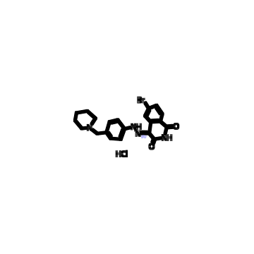 Cl.O=C1NC(=O)c2ccc(Br)cc2/C1=N\Nc1ccc(CN2CCCCC2)cc1